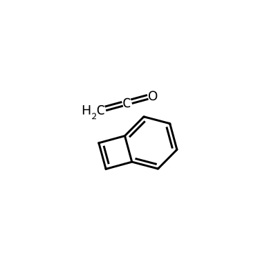 C1=Cc2ccccc21.C=C=O